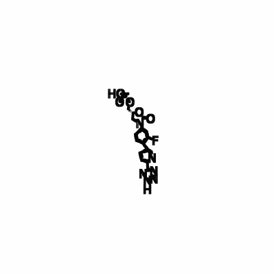 CP(=O)(O)OC[C@H]1CN(c2ccc(-c3ccc(-c4nn[nH]n4)nc3)c(F)c2)C(=O)O1